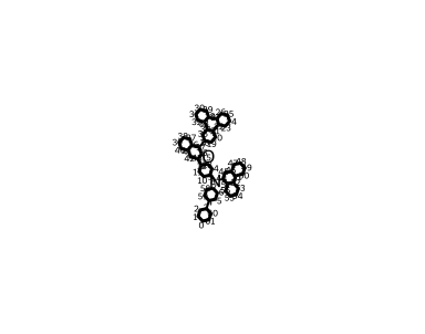 c1ccc(-c2ccc(N(c3ccc4c(c3)oc3c(-c5ccc6c7ccccc7c7ccccc7c6c5)c5ccccc5cc34)c3cc4ccccc4c4ccccc34)cc2)cc1